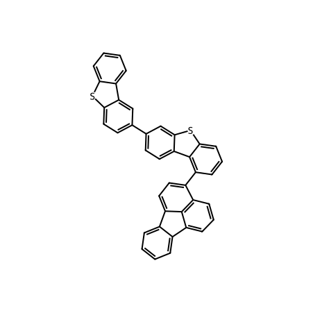 c1ccc2c(c1)-c1cccc3c(-c4cccc5sc6cc(-c7ccc8sc9ccccc9c8c7)ccc6c45)ccc-2c13